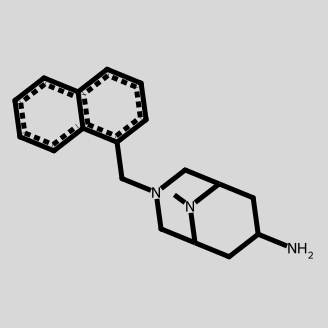 CN1C2CC(N)CC1CN(Cc1cccc3ccccc13)C2